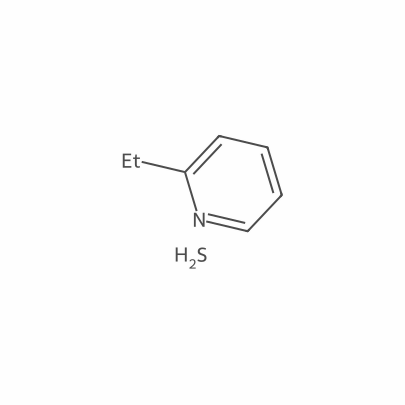 CCc1ccccn1.S